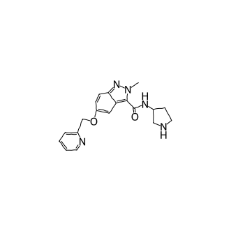 Cn1nc2ccc(OCc3ccccn3)cc2c1C(=O)NC1CCNC1